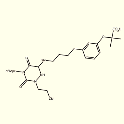 CCCCCCCN1C(=O)C(NCCCCc2cccc(OC(C)(C)C(=O)O)c2)NN(CCC#N)C1=O